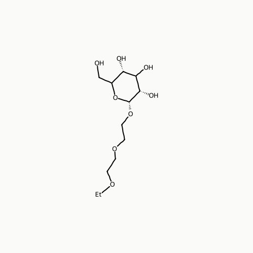 CCOCCOCCO[C@@H]1OC(CO)[C@H](O)C(O)[C@@H]1O